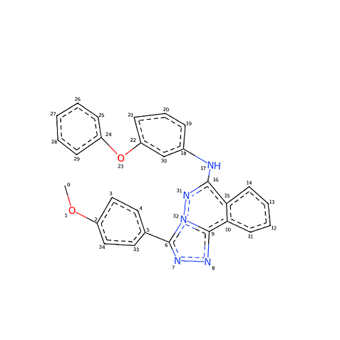 COc1ccc(-c2nnc3c4ccccc4c(Nc4cccc(Oc5ccccc5)c4)nn23)cc1